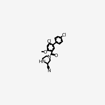 COc1cc(Cl)c(-c2ccc(Cl)cc2)cc1C(=O)N1CCNC(C#N)C1